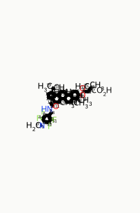 C=Nc1c(F)c(F)c(CNC(=O)C[C@]23CC[C@@H](C(=C)C)[C@@H]2[C@H]2CC[C@@H]4[C@@]5(C)CC[C@H](OC(=O)CC(C)(C)C(=O)O)C(C)(C)[C@@H]5CC[C@@]4(C)[C@]2(C)CC3)c(F)c1F